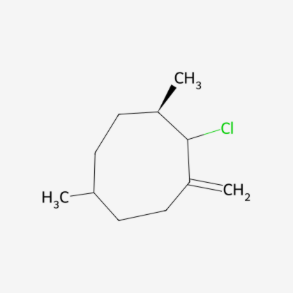 C=C1CCC(C)CC[C@@H](C)C1Cl